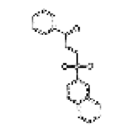 O=C(/C=C/S(=O)(=O)c1ccc2ccccc2c1)c1ccccc1